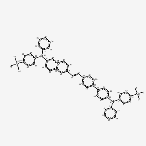 C[Si](C)(C)c1ccc(N(c2ccccc2)c2ccc(-c3ccc(/C=C/c4ccc5cc(N(c6ccccc6)c6ccc([Si](C)(C)C)cc6)ccc5c4)cc3)cc2)cc1